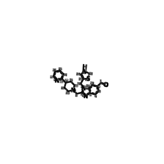 O=Cc1ccc2nc(CN3CCC(c4ccccn4)CC3)n(CC3=CNCS3)c2c1